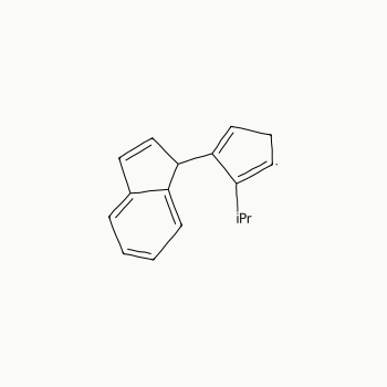 CC(C)C1=[C]CC=C1C1C=Cc2ccccc21